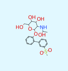 CC(O)NC1C(Oc2ccccc2-c2cccc(S(C)(=O)=O)c2)OC(CO)C(O)C1O